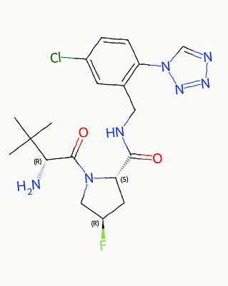 CC(C)(C)[C@@H](N)C(=O)N1C[C@H](F)C[C@H]1C(=O)NCc1cc(Cl)ccc1-n1cnnn1